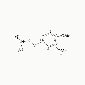 CCN(CC)CCc1ccc(OC)c(OC)c1